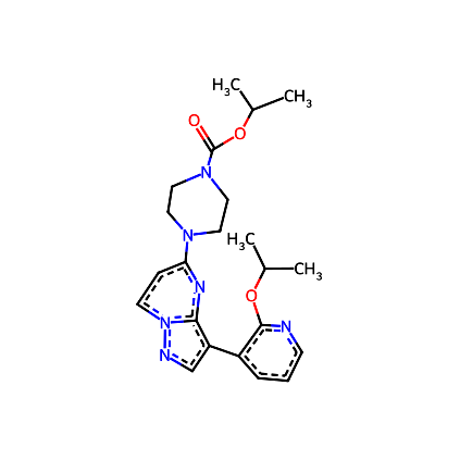 CC(C)OC(=O)N1CCN(c2ccn3ncc(-c4cccnc4OC(C)C)c3n2)CC1